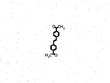 CC(=O)c1ccc(C=Cc2ccc(C(C)=O)cc2)cc1